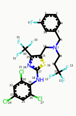 Fc1cccc(CN(CCC(F)(F)F)Cc2sc(Nc3c(Cl)cc(Cl)cc3Cl)nc2C(F)(F)F)c1